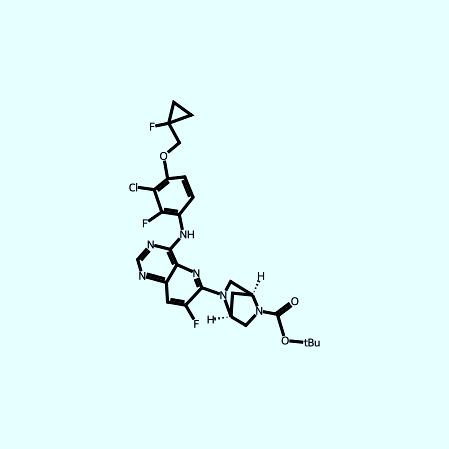 CC(C)(C)OC(=O)N1C[C@@H]2C[C@H]1CN2c1nc2c(Nc3ccc(OCC4(F)CC4)c(Cl)c3F)ncnc2cc1F